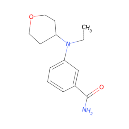 CCN(c1cccc(C(N)=O)c1)C1CCOCC1